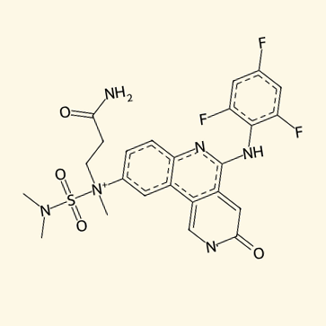 CN(C)S(=O)(=O)[N+](C)(CCC(N)=O)c1ccc2nc(Nc3c(F)cc(F)cc3F)c3c(c2c1)=C[N]C(=O)C=3